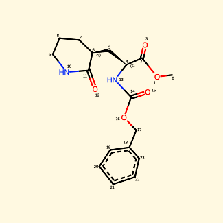 COC(=O)[C@H](C[C@@H]1CCCNC1=O)NC(=O)OCc1ccccc1